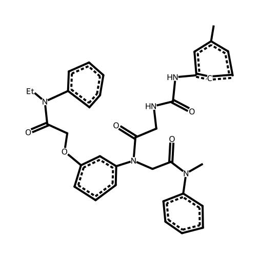 CCN(C(=O)COc1cccc(N(CC(=O)N(C)c2ccccc2)C(=O)CNC(=O)Nc2cccc(C)c2)c1)c1ccccc1